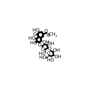 COC(=O)c1cc(O)c(=O)c2c(O)c(O)c(O[C@@H]3O[C@H](CO)[C@@H](O[C@H]4O[C@H](CO)[C@@H](O)[C@H](O)[C@H]4O)[C@H](O)[C@H]3O)cc2c1